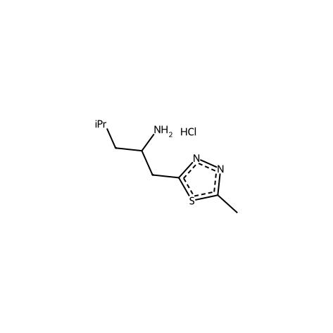 Cc1nnc(CC(N)CC(C)C)s1.Cl